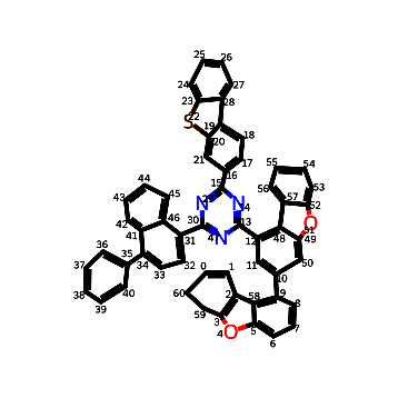 C1=Cc2c(oc3cccc(-c4cc(-c5nc(-c6ccc7c(c6)sc6ccccc67)nc(-c6ccc(-c7ccccc7)c7ccccc67)n5)c5c(c4)oc4ccccc45)c23)CC1